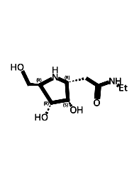 CCNC(=O)C[C@H]1N[C@H](CO)[C@@H](O)[C@H]1O